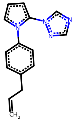 C=CCc1ccc(-n2cccc2-n2cncn2)cc1